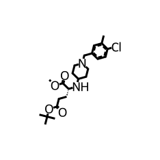 COC(=O)[C@@H](CCC(=O)OC(C)(C)C)NC1CCN(Cc2ccc(Cl)c(C)c2)CC1